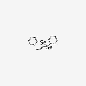 CC=C([Se]c1ccccc1)[Se]c1ccccc1